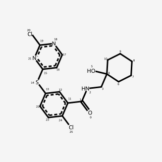 O=C(NCC1(O)CCCCC1)c1cc(Sc2ccnc(Cl)n2)ccc1Cl